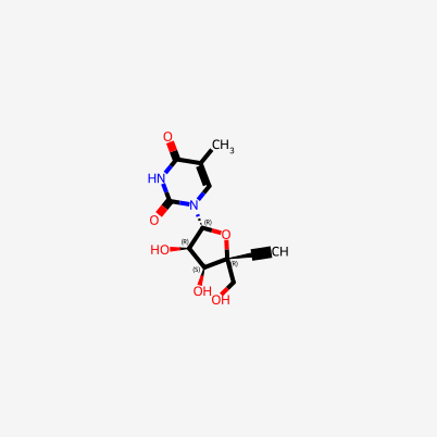 C#C[C@]1(CO)O[C@@H](n2cc(C)c(=O)[nH]c2=O)[C@H](O)[C@@H]1O